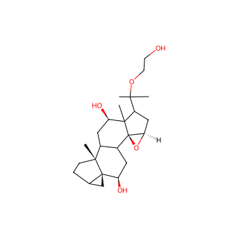 CC(C)(OCCO)C1C[C@H]2O[C@]23C2C[C@@H](O)[C@]45CC4CC[C@]5(C)C2C[C@@H](O)C13C